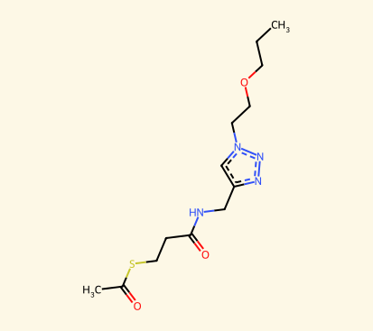 CCCOCCn1cc(CNC(=O)CCSC(C)=O)nn1